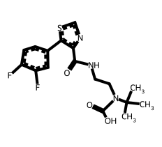 CC(C)(C)N(CCNC(=O)c1ncsc1-c1ccc(F)c(F)c1)C(=O)O